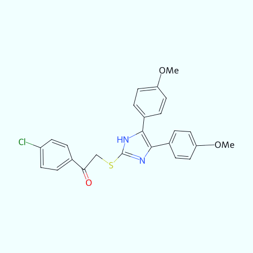 COc1ccc(-c2nc(SCC(=O)c3ccc(Cl)cc3)[nH]c2-c2ccc(OC)cc2)cc1